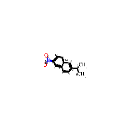 CC(C)c1ccc2cc([N+](=O)[O-])ccc2c1